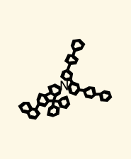 c1ccc(-c2ccc(-c3ccc4c(c3)c3cc(-c5ccc(-c6ccccc6)cc5)ccc3n4-c3ccc4c(c3)C(c3ccccc3)(c3ccccc3)c3cc(-c5cccc6ccccc56)ccc3-4)cc2)cc1